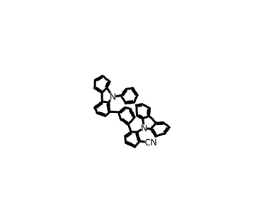 N#Cc1cccc(-c2cccc(-c3cccc4c5ccccc5n(-c5ccccc5)c34)c2)c1-n1c2ccccc2c2ccccc21